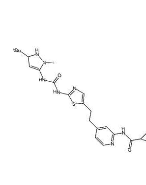 CN1NC(C(C)(C)C)C=C1NC(=O)Nc1ncc(CCc2ccnc(NC(=O)C3CC3)c2)s1